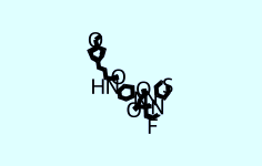 COc1ccc(CCCC(=O)N[C@H]2CC[C@@H](n3c(=O)c4cc(F)cnc4n(C4CCSCC4)c3=O)CC2)cc1